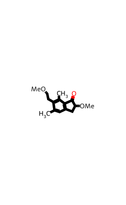 COCCc1c(C)cc2c(c1C)C(=O)C(OC)C2